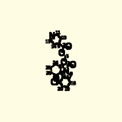 CN(C(=O)OCOC(=O)c1ccncc1)C1(c2ccccc2Cl)CCCCC1=O